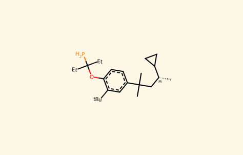 CCC(P)(CC)Oc1ccc(C(C)(C)C[C@@H](C)C2CC2)cc1C(C)(C)C